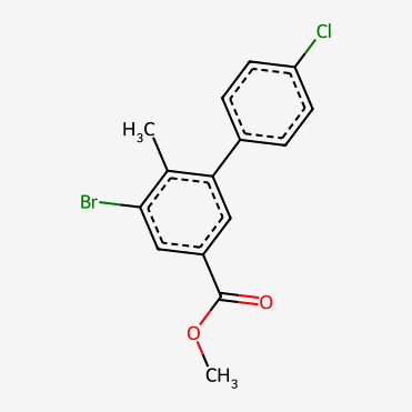 COC(=O)c1cc(Br)c(C)c(-c2ccc(Cl)cc2)c1